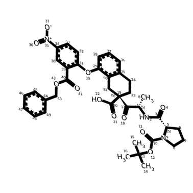 C[C@H](NC(=O)[C@@H]1CCCN1C(=O)OC(C)(C)C)C(=O)[C@]1(C(=O)O)CCc2cccc(Oc3ccc([N+](=O)[O-])cc3C(=O)OCc3ccccc3)c2C1